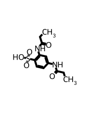 CCC(=O)Nc1ccc(S(=O)(=O)O)c(NC(=O)CC)c1